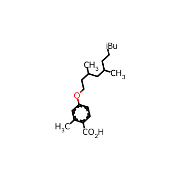 CCC(C)CCC(C)CC(C)CCOc1ccc(C(=O)O)c(C)c1